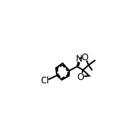 CC1(C)ON=C(c2ccc(Cl)cc2)C12CO2